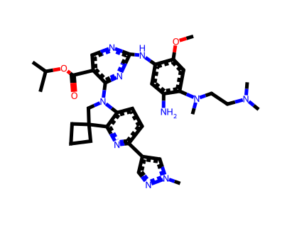 COc1cc(N(C)CCN(C)C)c(N)cc1Nc1ncc(C(=O)OC(C)C)c(N2CC3(CCC3)c3nc(-c4cnn(C)c4)ccc32)n1